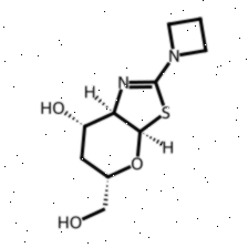 OC[C@@H]1C[C@H](O)[C@H]2N=C(N3CCC3)S[C@H]2O1